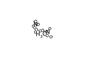 CC1C(c2ccc3cc(-c4cc5cc6c(-n7c8c(c9ccccc97)C=CC7CC87)cccc6cc5c5ccccc45)ccc3c2)=CC(c2ccccc2)=NC1C1=CC=CC(C2C=CC=CC2)C1